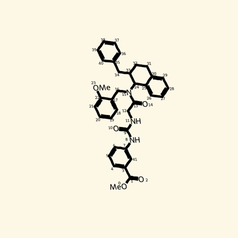 COC(=O)c1cccc(NC(=O)NCC(=O)N(Cc2ccccc2OC)C2c3ccccc3CCC2Cc2ccccc2)c1